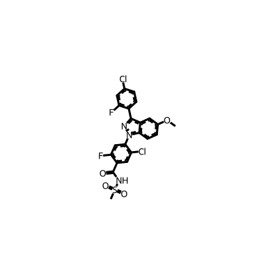 COc1ccc2c(c1)c(-c1ccc(Cl)cc1F)nn2-c1cc(F)c(C(=O)NS(C)(=O)=O)cc1Cl